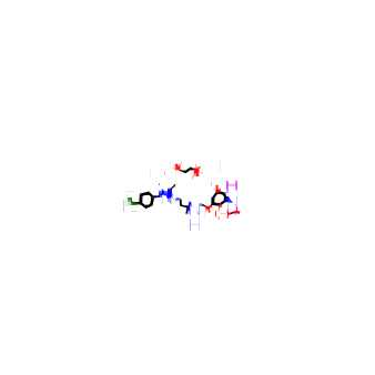 Cc1nc(-c2ccc(C(F)(F)F)cc2)nn1CCC(C)(C)NCC(O)c1cc(O)cc2c1OCC(=O)N2.O=C(O)C=CC(=O)O